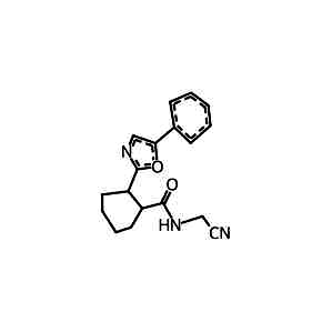 N#CCNC(=O)C1CCCCC1c1ncc(-c2ccccc2)o1